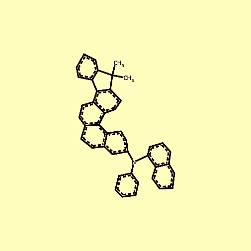 CC1(C)c2ccccc2-c2c1ccc1c2ccc2ccc3cc(N(c4ccccc4)c4cccc5ccccc45)ccc3c21